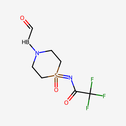 O=CBN1CCS(=O)(=NC(=O)C(F)(F)F)CC1